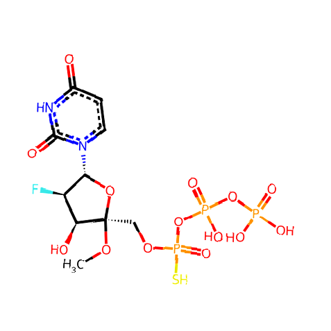 CO[C@]1(COP(=O)(S)OP(=O)(O)OP(=O)(O)O)O[C@@H](n2ccc(=O)[nH]c2=O)[C@H](F)[C@@H]1O